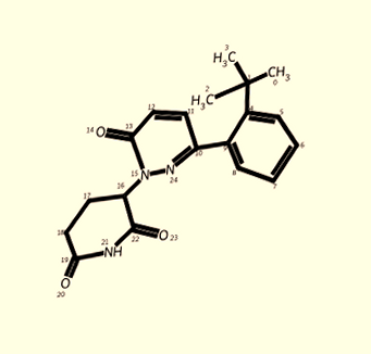 CC(C)(C)c1ccccc1-c1ccc(=O)n(C2CCC(=O)NC2=O)n1